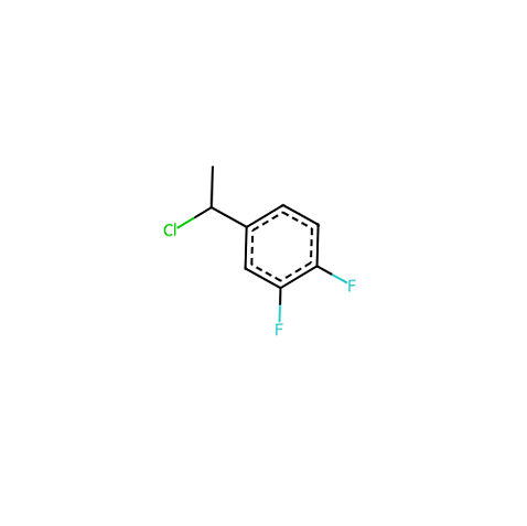 CC(Cl)c1ccc(F)c(F)c1